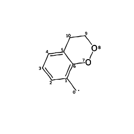 [CH2]c1cccc2c1OOCC2